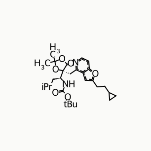 CC(C)C[C@H](NC(=O)OC(C)(C)C)[C@@]1(Cc2nccc3oc(CCC4CC4)cc23)OC(C)(C)OC1=O